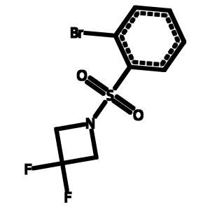 O=S(=O)(c1ccccc1Br)N1CC(F)(F)C1